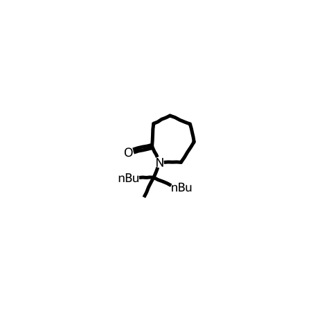 CCCCC(C)(CCCC)N1CCCCCC1=O